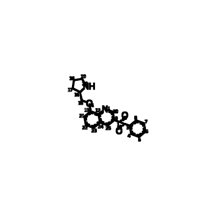 O=S(=O)(c1ccccc1)c1cnc2c(OC[C@H]3CCCN3)cccc2c1